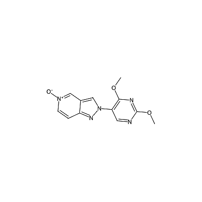 COc1ncc(-n2cc3c[n+]([O-])ccc3n2)c(OC)n1